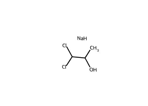 CC(O)C(Cl)Cl.[NaH]